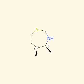 C[C@@H]1NCSCC[C@@H]1C